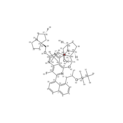 CC(Cc1cccc2cccc(-c3nc4c5c(nc(OC[C@@]67CCCN6C[C@H](F)C7)nc5c3F)N3C[C@H]5CC[C@@H]([C@H]3CO4)N5C(=O)OC(C)(C)C)c12)O[Si](C)(C)C(C)(C)C